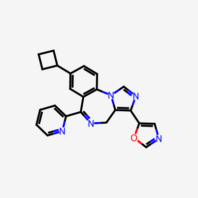 c1ccc(C2=NCc3c(-c4cnco4)ncn3-c3ccc(C4CCC4)cc32)nc1